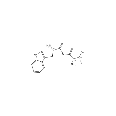 C[C@@H](O)[C@H](N)C(=O)OC(=O)[C@@H](N)Cc1c[nH]c2ccccc12